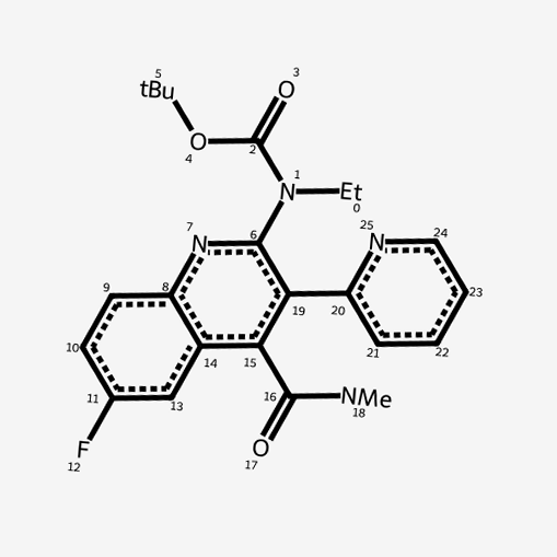 CCN(C(=O)OC(C)(C)C)c1nc2ccc(F)cc2c(C(=O)NC)c1-c1ccccn1